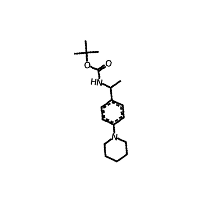 CC(NC(=O)OC(C)(C)C)c1ccc(N2CCCCC2)cc1